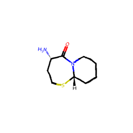 N[C@H]1CCS[C@H]2CCCCN2C1=O